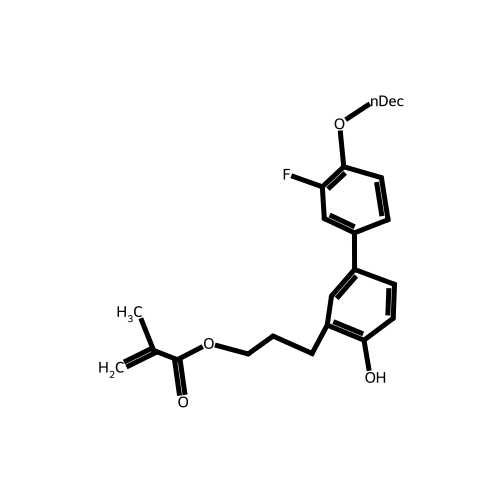 C=C(C)C(=O)OCCCc1cc(-c2ccc(OCCCCCCCCCC)c(F)c2)ccc1O